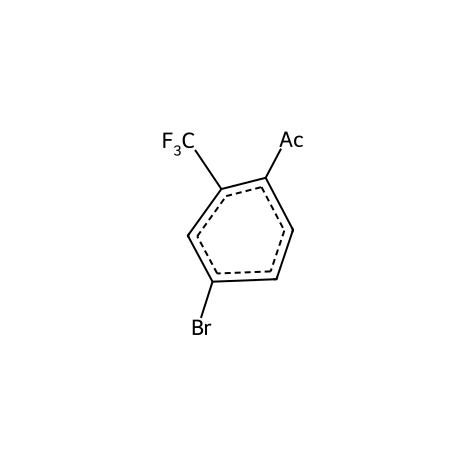 CC(=O)c1ccc(Br)cc1C(F)(F)F